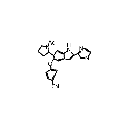 CC(=O)N1CCCC1c1cc2[nH]c(-c3cnccn3)cc2cc1Oc1ccc(C#N)cc1